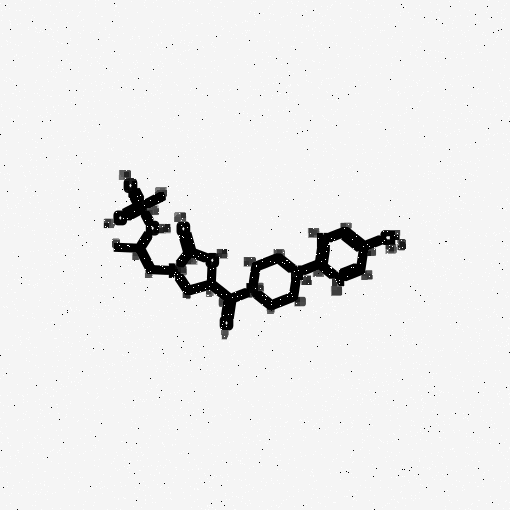 CC(CN1CC(C(=O)N2CCN(c3ncc(C(F)(F)F)cn3)CC2)OC1=O)OS(C)(=O)=O